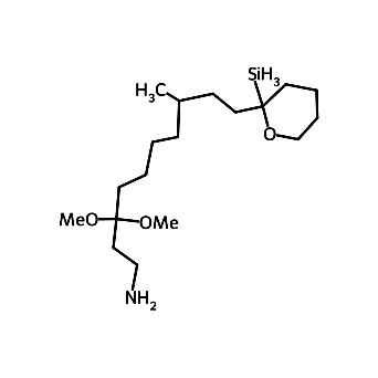 COC(CCN)(CCCCC(C)CCC1([SiH3])CCCCO1)OC